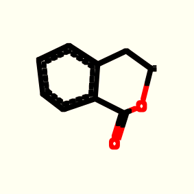 O=C1O[C]Cc2ccccc21